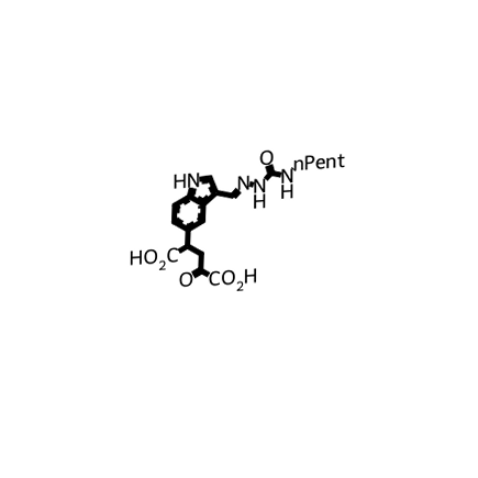 CCCCCNC(=O)N/N=C/c1c[nH]c2ccc(C(CC(=O)C(=O)O)C(=O)O)cc12